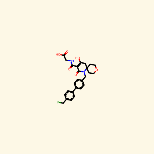 O=C(O)CNC(=O)C1=C(O)CC2(CCOCC2)N(Cc2ccc(-c3ccc(CF)cc3)cc2)C1=O